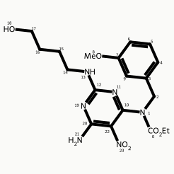 CCOC(=O)N(Cc1cccc(OC)c1)c1nc(NCCCCO)nc(N)c1[N+](=O)[O-]